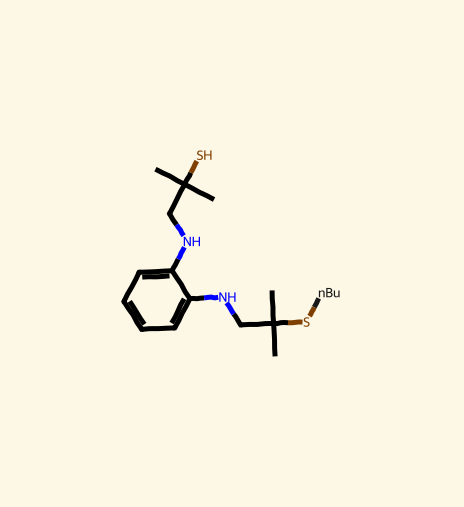 CCCCSC(C)(C)CNc1ccccc1NCC(C)(C)S